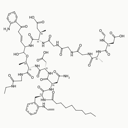 C=CNc1ccccc1C[C@H](NC(=O)CCCCCCCCC)C(=O)N[C@H](CC(N)=O)C(=O)N[C@@H](CC(=O)O)C(=O)N[C@H](C(=O)NCC(=O)NCC)[C@@H](C)OC(O)C(C=CCC(=O)c1ccccc1N)NC(=O)[C@@H](NC(=O)CNC(=O)CNC(=O)CNC(=O)[C@@H](C)NC(=O)[C@H](CC(=O)O)NC=O)[C@H](C)CC(=O)O